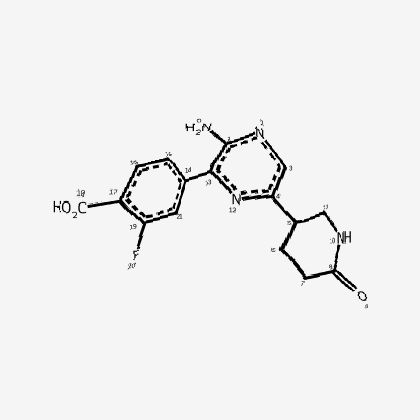 Nc1ncc(C2CCC(=O)NC2)nc1-c1ccc(C(=O)O)c(F)c1